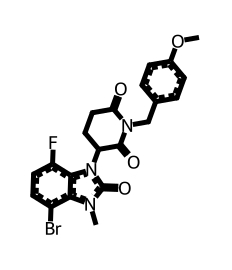 COc1ccc(CN2C(=O)CCC(n3c(=O)n(C)c4c(Br)ccc(F)c43)C2=O)cc1